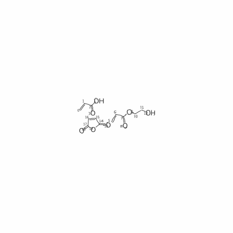 C=CC(=O)O.C=CC(=O)OCCO.O=C1C=CC(=O)O1